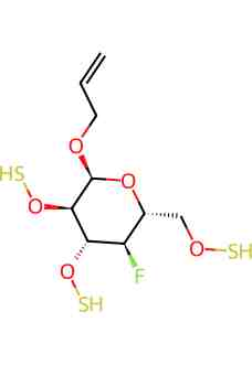 C=CCO[C@H]1O[C@H](COS)[C@@H](F)[C@H](OS)[C@H]1OS